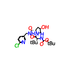 CC(C)(C)OC(=O)N[C@H](C(=O)N1C[C@H](O)C[C@H]1C(=O)NCc1ccc(Cl)nc1)C(C)(C)C